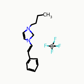 CCCCN1C=CN(C=Cc2ccccc2)C1.F[B-](F)(F)F